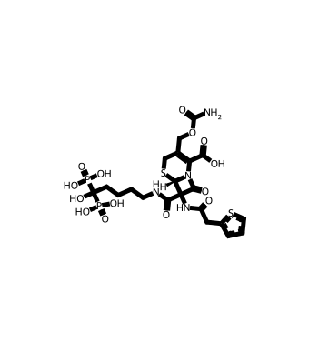 NC(=O)OCC1=C(C(=O)O)N2C(=O)C(NC(=O)Cc3cccs3)(C(=O)NCCCCC(O)(P(=O)(O)O)P(=O)(O)O)[C@@H]2SC1